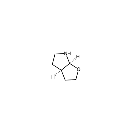 C1C[C@@H]2CCO[C@@H]2N1